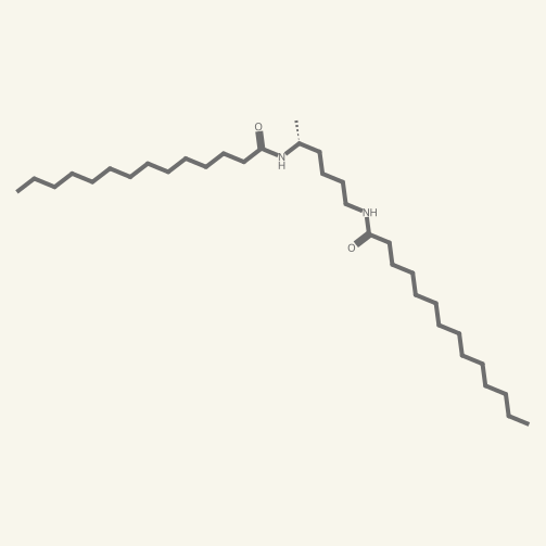 CCCCCCCCCCCCCC(=O)NCCCC[C@@H](C)NC(=O)CCCCCCCCCCCCC